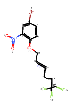 O=[N+]([O-])c1cc(Br)ccc1OC/C=C/CCC(F)(F)F